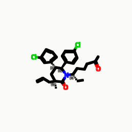 C=CC[C@@]1(C)C[C@H](c2cccc(Cl)c2)[C@@H](c2ccc(Cl)cc2)N([C@@H](CC)CCCC(C)=O)C1=O